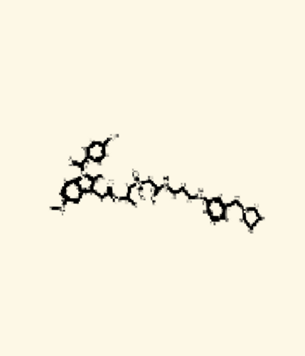 COc1ccc2c(c1)c(CC(=O)OC(C)CS(=O)(=O)CC(=O)NCCCOc1cccc(CN3CCCC3)c1)c(C)n2C(=O)c1ccc(Cl)cc1